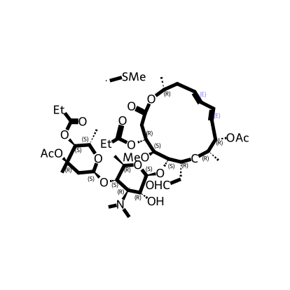 CCC(=O)O[C@@H]1CC(=O)O[C@H](C)C/C=C/C=C/[C@H](OC(C)=O)[C@H](C)C[C@H](CC=O)[C@H](O[C@@H]2O[C@H](C)[C@@H](O[C@H]3C[C@@](C)(OC(C)=O)[C@@H](OC(=O)CC)[C@H](C)O3)[C@H](N(C)C)[C@H]2O)[C@H]1OC.[CH2]SC